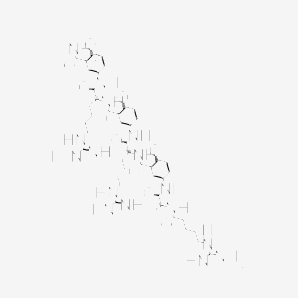 COc1ccc(NC(=O)[C@H](CCCCNC(=N)N)NC(=O)c2cc(NC(=O)[C@H](CCCCNC(=N)N)NC(=O)c3cc(NC(=O)[C@H](C)NC(=O)CCCCNC(=N)N)ccc3OC)ccc2OC)cc1C(N)=O